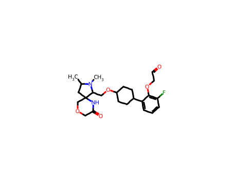 CC1CC2(COCC(=O)N2)C(COC2CCC(c3cccc(F)c3OCC=O)CC2)N1C